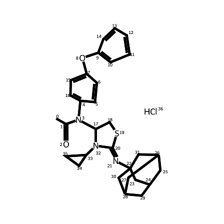 CC(=O)N(c1ccc(Oc2ccccc2)cc1)C1CSC(=NC23CC4CC(CC(C4)C2)C3)N1C1CC1.Cl